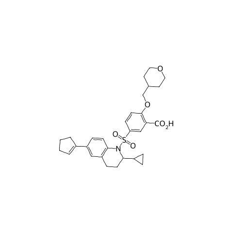 O=C(O)c1cc(S(=O)(=O)N2c3ccc(C4=CCCC4)cc3CCC2C2CC2)ccc1OCC1CCOCC1